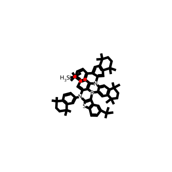 CC(C)(C)c1cc2c3c(c1)N(c1ccc4c(c1)C(C)(C)CCC4(C)C)c1sc4ccc(C(C)(C)C)cc4c1B3c1cc3c(cc1N2c1cc2c(cc1-c1ccc([SiH3])cc1)C(C)(C)CCC2(C)C)C(C)(C)CCC3(C)C